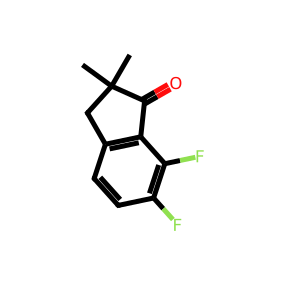 CC1(C)Cc2ccc(F)c(F)c2C1=O